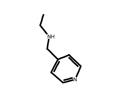 CCN[CH]c1ccncc1